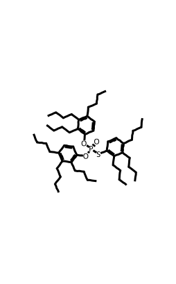 CCCCc1ccc(OP(=O)(Oc2ccc(CCCC)c(CCCC)c2CCCC)Sc2ccc(CCCC)c(CCCC)c2CCCC)c(CCCC)c1CCCC